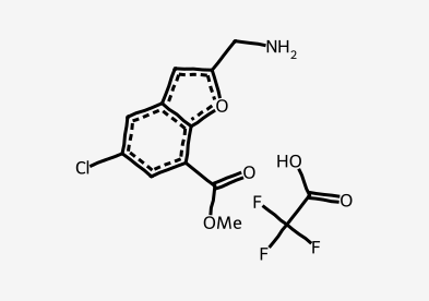 COC(=O)c1cc(Cl)cc2cc(CN)oc12.O=C(O)C(F)(F)F